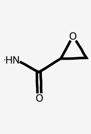 [NH]C(=O)C1CO1